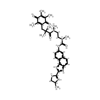 CC1=C(C)C(=O)C(CC(C)(C)C(=O)N(C)CCN(C)C(=O)Oc2ccc3c(ccc4nc(C5=NC(C)CS5)sc43)c2)=C(C)C1=O